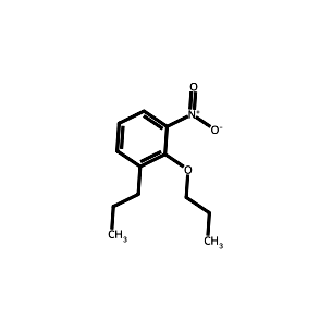 CCCOc1c(CCC)cccc1[N+](=O)[O-]